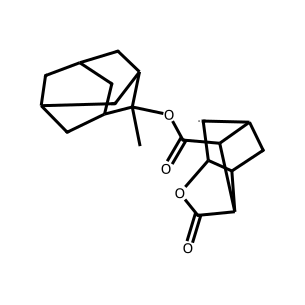 CC1(OC(=O)C2C3[CH]C4OC(=O)C2C4C3)C2CC3CC(C2)CC1C3